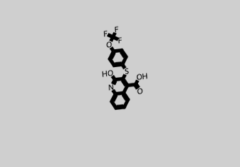 O=C(O)c1c(Sc2ccc(OC(F)(F)F)cc2)c(O)nc2ccccc12